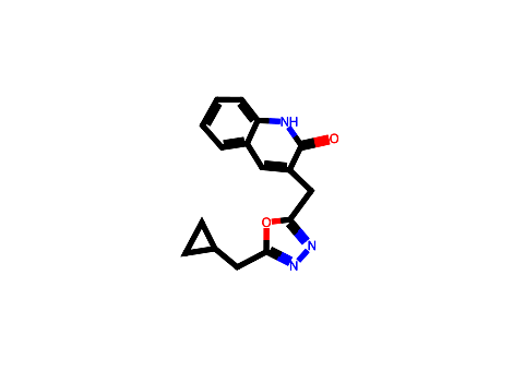 O=c1[nH]c2ccccc2cc1Cc1nnc(CC2CC2)o1